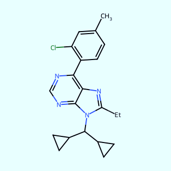 CCc1nc2c(-c3ccc(C)cc3Cl)ncnc2n1C(C1CC1)C1CC1